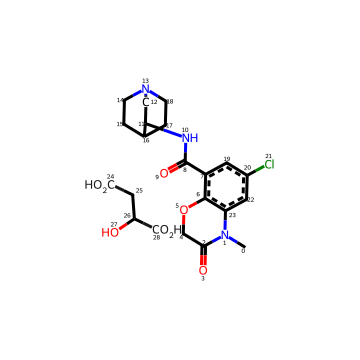 CN1C(=O)COc2c(C(=O)NC3CN4CCC3CC4)cc(Cl)cc21.O=C(O)CC(O)C(=O)O